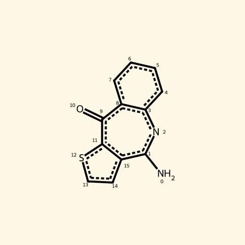 Nc1nc2ccccc2c(=O)c2sccc12